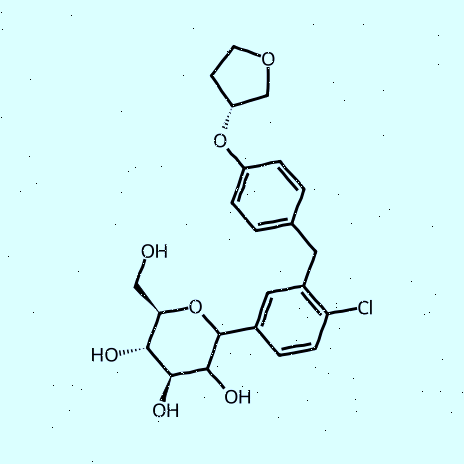 OC[C@H]1OC(c2ccc(Cl)c(Cc3ccc(O[C@@H]4CCOC4)cc3)c2)C(O)[C@@H](O)[C@@H]1O